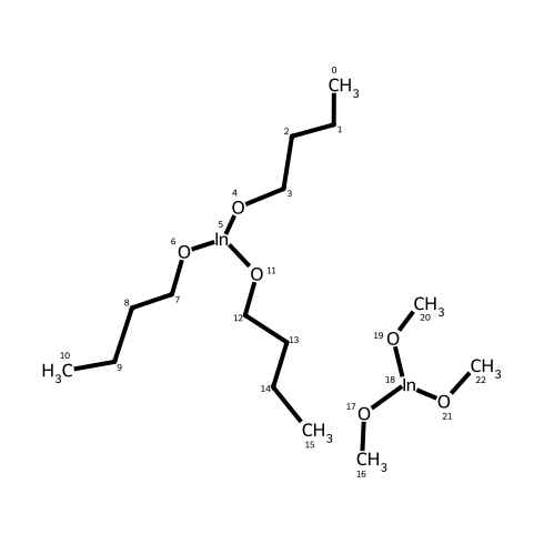 CCCC[O][In]([O]CCCC)[O]CCCC.C[O][In]([O]C)[O]C